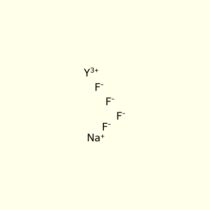 [F-].[F-].[F-].[F-].[Na+].[Y+3]